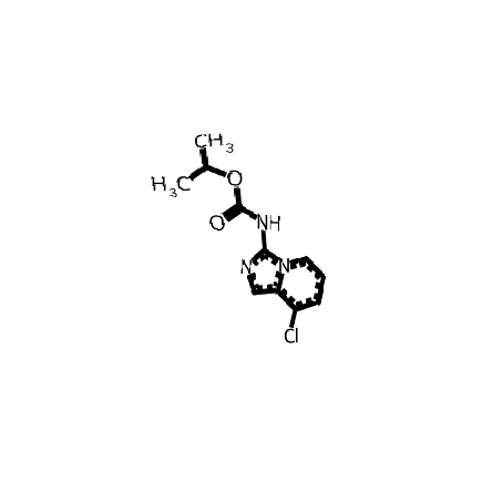 CC(C)OC(=O)Nc1ncc2c(Cl)cccn12